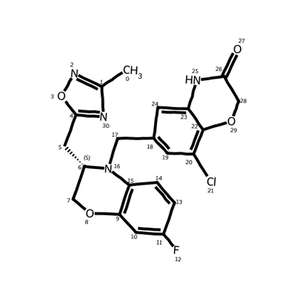 Cc1noc(C[C@H]2COc3cc(F)ccc3N2Cc2cc(Cl)c3c(c2)NC(=O)CO3)n1